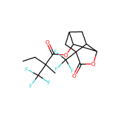 CCC(C)(C(=O)OC1C2CC3C1OC(=O)C3(C(F)(F)F)C2)C(F)(F)F